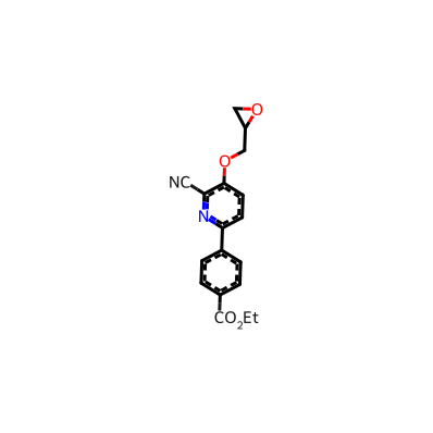 CCOC(=O)c1ccc(-c2ccc(OCC3CO3)c(C#N)n2)cc1